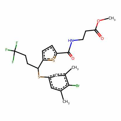 COC(=O)CCNC(=O)c1ccc(C(CCC(F)(F)F)Sc2cc(C)c(Br)c(C)c2)s1